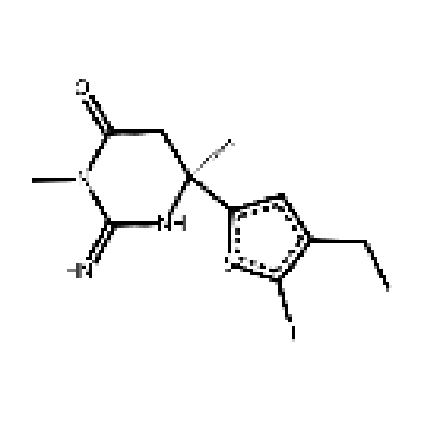 CCc1cc([C@]2(C)CC(=O)N(C)C(=N)N2)sc1I